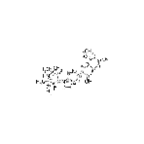 COc1cc(=O)oc2cc(O)c(-c3cc4c(nn3)N([C@H]3CC(C)(C)NC(C)(C)[C@H]3F)CC4)cc12